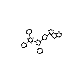 c1ccc(-c2cc(-c3ccc(-c4ccnc5c4ccc4cccnc45)cc3)cc(-c3nc(-c4ccccc4)nc(-c4ccccc4)n3)c2)cc1